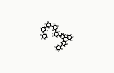 c1ccc(-c2cccc(-c3cccc(-c4cccc(-c5cccc(-c6nc(-c7cccc(-c8ccccc8)c7)c7c(n6)sc6ccccc67)c5)c4)c3)c2)cc1